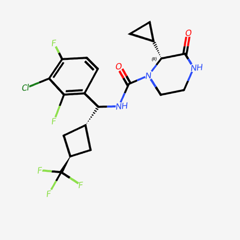 O=C1NCCN(C(=O)NC(c2ccc(F)c(Cl)c2F)[C@H]2C[C@H](C(F)(F)F)C2)[C@@H]1C1CC1